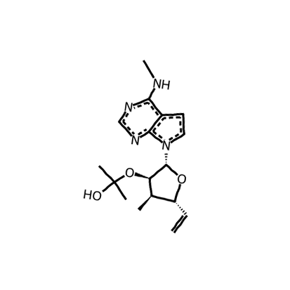 C=C[C@H]1O[C@@H](n2ccc3c(NC)ncnc32)[C@H](OC(C)(C)O)[C@@H]1C